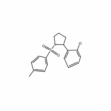 Cc1ccc(S(=O)(=O)N2CCCC2c2ccccc2Cl)cc1